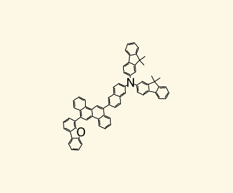 CC1(C)c2ccccc2-c2ccc(N(c3ccc4c(c3)C(C)(C)c3ccccc3-4)c3ccc4cc(-c5cc6c7ccccc7c(-c7cccc8c7oc7ccccc78)cc6c6ccccc56)ccc4c3)cc21